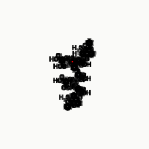 Cn1c(=O)c(C(=O)c2ccccc2)c2c3c(c(Nc4cc(Nc5nc(NC6CCC(CC7CCC(Nc8nc(Nc9ccc(S(=O)(=O)O)c(Nc%10ccc%11c%12c%10C(=O)c%10ccccc%10-c%12c(C(=O)c%10ccccc%10)c(=O)n%11C)c9)nc(Oc9cc(C(=O)O)cc(C(=O)O)c9)n8)C(S(=O)(=O)O)C7)CC6S(=O)(=O)O)nc(Oc6cc(C(=O)O)cc(C(=O)O)c6)n5)ccc4S(=O)(=O)O)ccc31)C(=O)c1ccccc1-2